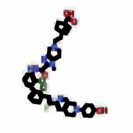 Cn1c(C(=O)Nc2cccc(-c3cccc(/C=C(\F)c4cc5c(cn4)CN(C4CCC(O)CC4)CC5)c3Cl)c2Cl)nc2c1CCN(CCC13CCC(C(=O)O)(CC1)C3)C2